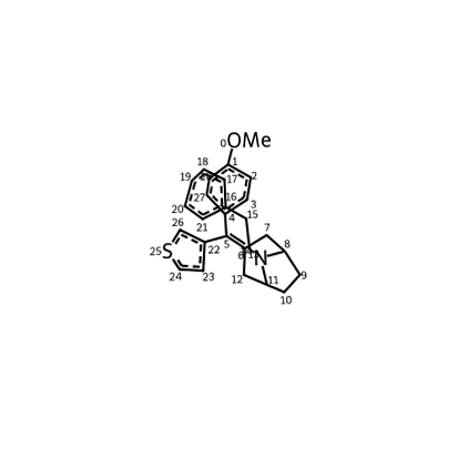 COc1ccc(C(=C2CC3CCC(C2)N3CCc2ccccc2)c2ccsc2)cc1